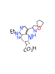 CCn1nc(C)c2c(NC3CC(C(=O)O)C3)c(C3=NOC4(CCCC4)C3)cnc21